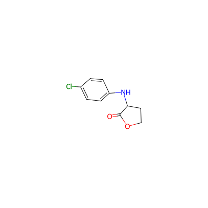 O=C1OCCC1Nc1ccc(Cl)cc1